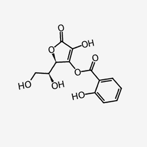 O=C1O[C@H]([C@@H](O)CO)C(OC(=O)c2ccccc2O)=C1O